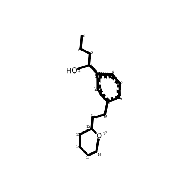 CCCC(O)c1cccc(CCC2CCCCO2)c1